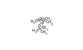 CC(C)C(O[Si](C)(C)C)O[Si](C)(C)C